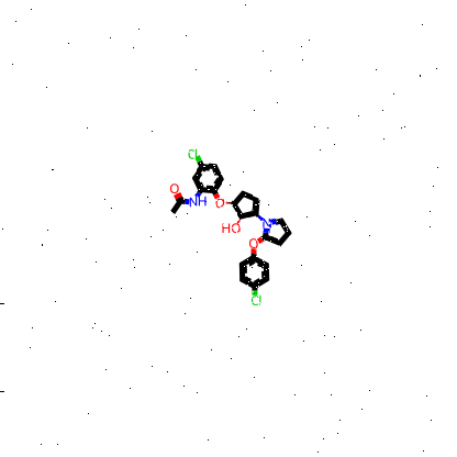 CC(=O)Nc1cc(Cl)ccc1O[C@@H]1CC[C@@H](N2CCCC2Oc2ccc(Cl)cc2)[C@@H]1O